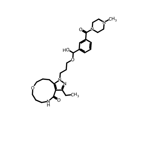 CCc1nn(CCCOC(O)c2cccc(C(=O)N3CCN(C)CC3)c2)c2c1C(=O)NCCCOCCC2